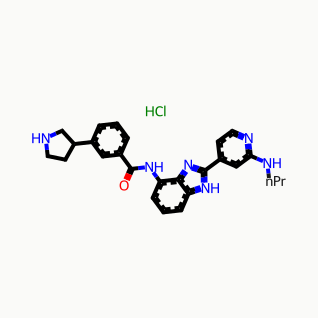 CCCNc1cc(-c2nc3c(NC(=O)c4cccc(C5CCNC5)c4)cccc3[nH]2)ccn1.Cl